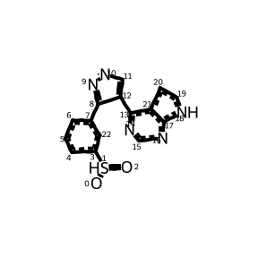 O=[SH](=O)c1cccc(C2=N[N]C=C2c2ncnc3[nH]ccc23)c1